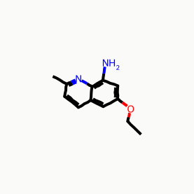 CCOc1cc(N)c2nc(C)ccc2c1